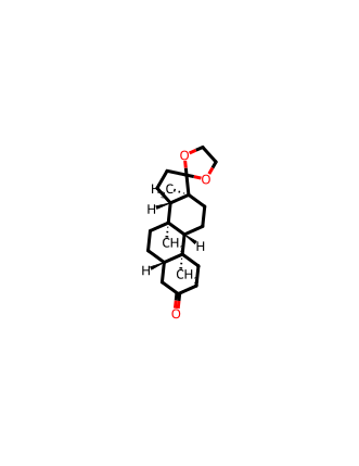 C[C@]12CCC(=O)C[C@@H]1CC[C@]1(C)[C@@H]2CC[C@@]2(C)[C@H]1CCC21OCCO1